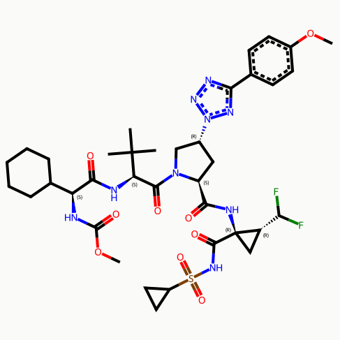 COC(=O)N[C@H](C(=O)N[C@H](C(=O)N1C[C@H](n2nnc(-c3ccc(OC)cc3)n2)C[C@H]1C(=O)N[C@]1(C(=O)NS(=O)(=O)C2CC2)C[C@H]1C(F)F)C(C)(C)C)C1CCCCC1